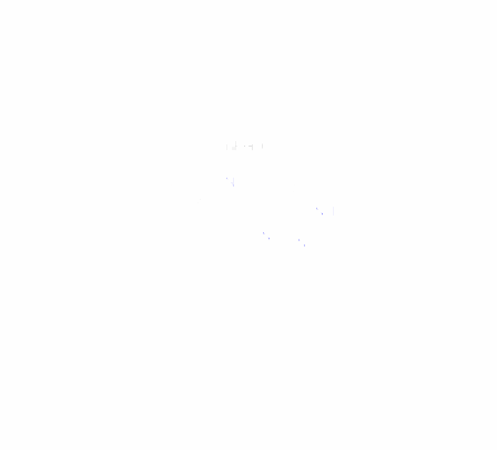 CCCCCN(C(=O)c1ccccc1)c1c[nH]nn1